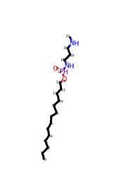 CCCCCCCCCCCCCCO[PH](=O)NCCCNC